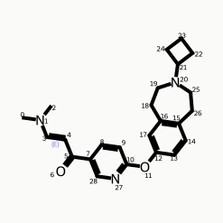 CN(C)/C=C/C(=O)c1ccc(Oc2ccc3c(c2)CCN(C2CCC2)CC3)nc1